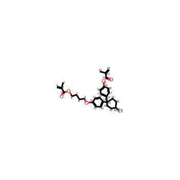 C=C(C)C(=O)OCCCCOc1ccc(C2(c3ccc(OC(=O)C(=C)C)cc3)CCC(CC)CC2)cc1